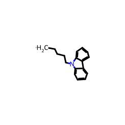 [CH2]CCCCn1c2ccccc2c2ccccc21